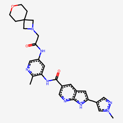 Cc1ncc(NC(=O)CN2CC3(CCOCC3)C2)cc1NC(=O)c1cnc2[nH]c(-c3cnn(C)c3)cc2c1